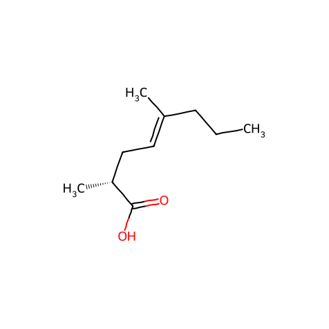 CCCC(C)=CC[C@@H](C)C(=O)O